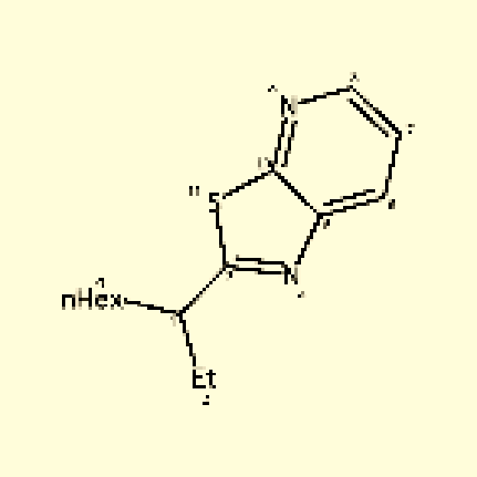 CCCCCCC(CC)c1nc2cccnc2s1